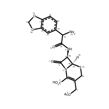 CC(=O)OCC1=C(C(=O)O)N2C(=O)[C@@H](NC(=O)C(N)c3ccc4c(c3)OCO4)[C@H]2SC1